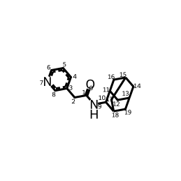 O=C(Cc1cccnc1)NC1C2CC3CC(C2)CC1C3